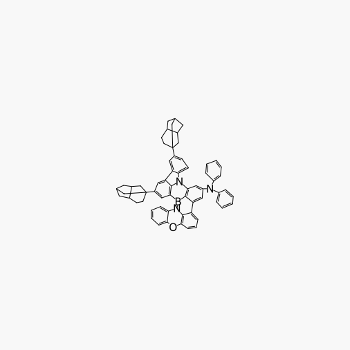 c1ccc(N(c2ccccc2)c2cc3c4c(c2)-n2c5ccc(C67CCC8CC(CC8C6)C7)cc5c5cc(C67CCC8CC(CC8C6)C7)cc(c52)B4N2c4ccccc4Oc4cccc-3c42)cc1